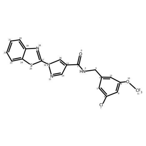 O=C(NCc1cc(Cl)cc(OC(F)(F)F)c1)c1cnn(-c2nc3ccccc3s2)c1